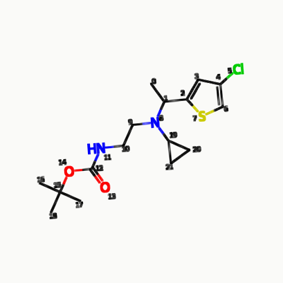 CC(c1cc(Cl)cs1)N(CCNC(=O)OC(C)(C)C)C1CC1